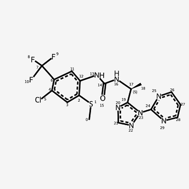 CSc1cc(Cl)c(C(F)(F)F)cc1NC(=O)N[C@@H](C)c1ncnn1-c1ncccn1